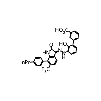 CCCc1ccc(-c2c(C(F)(F)F)ccc3c2NC(=O)C3=NNc2cccc(-c3cccc(C(=O)O)c3)c2O)cc1